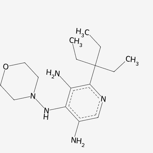 CCC(CC)(CC)c1ncc(N)c(NN2CCOCC2)c1N